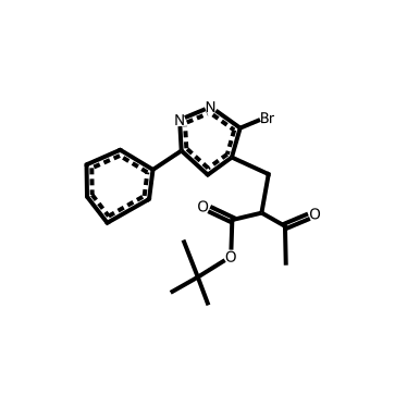 CC(=O)C(Cc1cc(-c2ccccc2)nnc1Br)C(=O)OC(C)(C)C